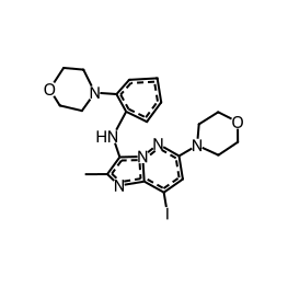 Cc1nc2c(I)cc(N3CCOCC3)nn2c1Nc1ccccc1N1CCOCC1